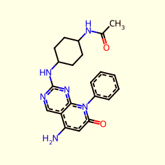 CC(=O)NC1CCC(Nc2ncc3c(N)cc(=O)n(-c4ccccc4)c3n2)CC1